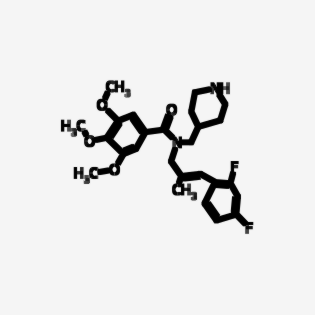 COc1cc(C(=O)N(CC(C)=Cc2ccc(F)cc2F)CC2CCNCC2)cc(OC)c1OC